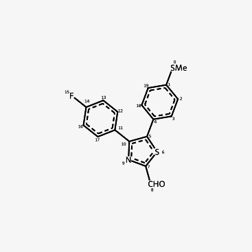 CSc1ccc(-c2sc(C=O)nc2-c2ccc(F)cc2)cc1